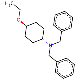 CCO[C@H]1CC[C@H](N(Cc2ccccc2)Cc2ccccc2)CC1